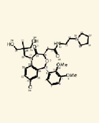 COc1cccc([C@H]2O[C@H](CC(=O)NCCN3CCCC3)C(=O)N(CC(C)(CO)CO)c3ccc(Cl)cc32)c1OC